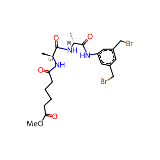 COC(=O)CCCCC(=O)N[C@@H](C)C(=O)N[C@H](C)C(=O)Nc1cc(CBr)cc(CBr)c1